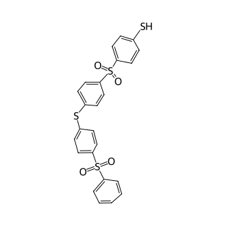 O=S(=O)(c1ccccc1)c1ccc(Sc2ccc(S(=O)(=O)c3ccc(S)cc3)cc2)cc1